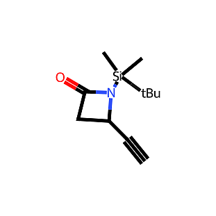 C#CC1CC(=O)N1[Si](C)(C)C(C)(C)C